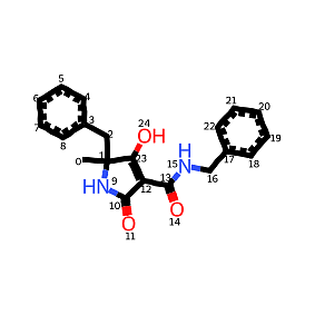 CC1(Cc2ccccc2)NC(=O)C(C(=O)NCc2ccccc2)=C1O